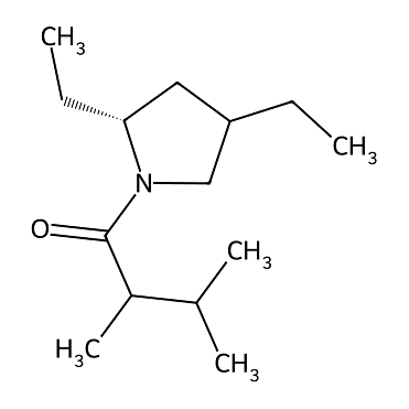 CCC1C[C@@H](CC)N(C(=O)C(C)C(C)C)C1